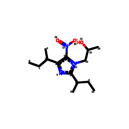 CCC(C)c1nc(C(C)CC)n(CC(C)O)c1[N+](=O)[O-]